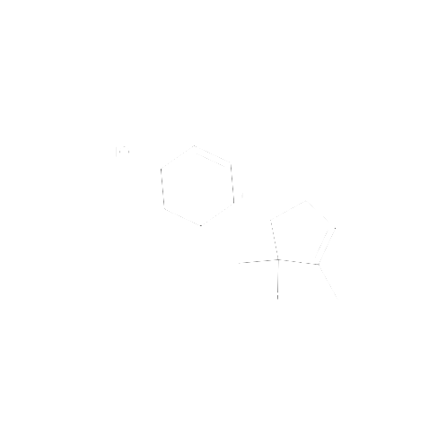 CC1=CCC([C@H]2C=C[C@@H](O)[C@@H](C)C2)C1(C)C